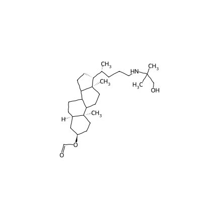 C[C@H](CCCNC(C)(C)CO)[C@H]1CCC2C3CC[C@@H]4C[C@H](OC=O)CC[C@]4(C)C3CC[C@@]21C